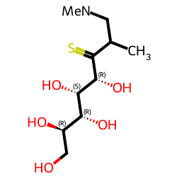 CNCC(C)C(=S)[C@H](O)[C@@H](O)[C@H](O)[C@H](O)CO